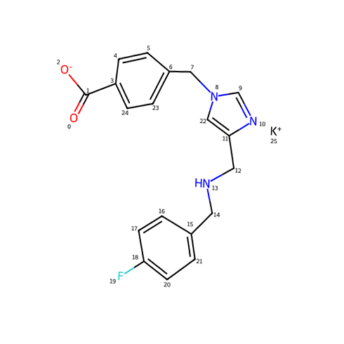 O=C([O-])c1ccc(Cn2cnc(CNCc3ccc(F)cc3)c2)cc1.[K+]